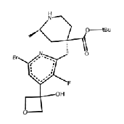 C[C@@H]1C[C@](Cc2nc(Br)cc(C3(O)COC3)c2F)(C(=O)OC(C)(C)C)CCN1